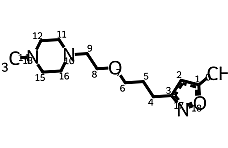 Cc1cc(CCCOCCN2CCN(C)CC2)no1